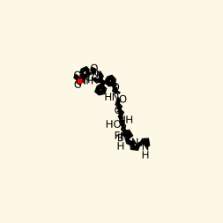 O=C(CCOCCNC(O)CCc1ccc(/C=C2/C=CC(c3ccc[nH]3)=N2)n1BF)NCCOc1cccc([C@H](c2ccccc2)C2CCN(C(=O)N3CCC4OCC(=O)N[C@@H]4C3)CC2)c1